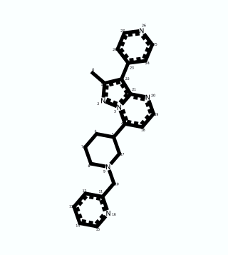 Cc1nn2c(C3CCCN(Cc4ccccn4)C3)ccnc2c1-c1ccncc1